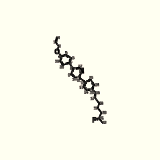 C=CCOc1ccc(-c2ccc(-c3ccc(C=CCCCC(C)F)cc3)nc2)cc1